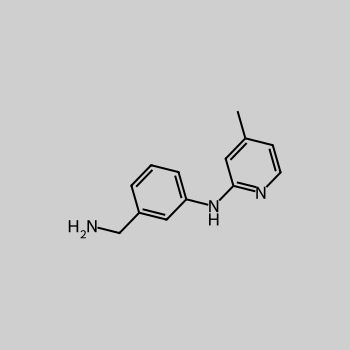 Cc1ccnc(Nc2cccc(CN)c2)c1